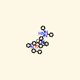 CC1(C)c2ccc3c4ccccc4n(-c4cccc(-c5ccccc5)c4)c3c2Oc2ccc3c4ccccc4n(-c4cccc(C5N=C(c6ccccc6)N=C(c6ccccc6)N5)c4)c3c21